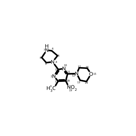 Cc1nc(N2CCNCC2)nc(N2CCOCC2)c1[N+](=O)[O-]